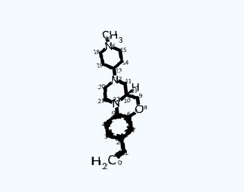 C=Cc1ccc2c(c1)OC[C@H]1CN(C3CCN(C)CC3)CCN21